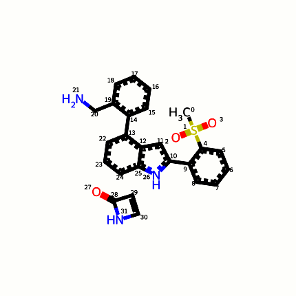 CS(=O)(=O)c1ccccc1-c1cc2c(-c3ccccc3CN)cccc2[nH]1.O=C1C=CN1